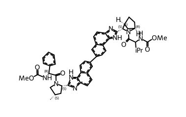 COC(=O)NC(C(=O)N1[C@@H]2CC[C@@H](C2)[C@H]1c1nc2ccc3cc(-c4ccc5c(ccc6nc([C@@H]7C[C@H](C)CN7C(=O)[C@H](NC(=O)OC)c7ccccc7)[nH]c65)c4)ccc3c2[nH]1)C(C)C